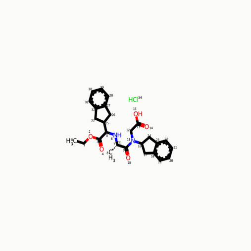 CCOC(=O)C(N[C@@H](C)C(=O)N(CC(=O)O)C1Cc2ccccc2C1)C1Cc2ccccc2C1.Cl